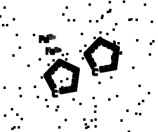 [Fe+2].[Pd+2].c1cc[cH-]c1.c1cc[cH-]c1